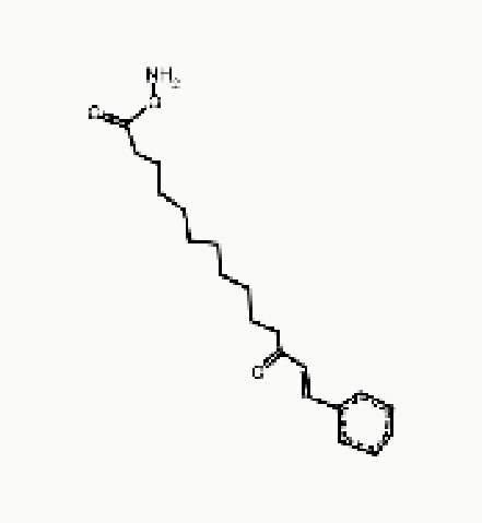 NOC(=O)CCCCCCCCCCC(=O)/C=C/c1ccccc1